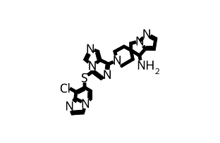 NC1c2ccnn2CC12CCN(c1ncc(Sc3ccn4ccnc4c3Cl)n3cncc13)CC2